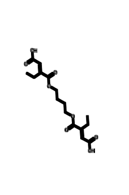 CC/C(=C\C(=O)O)C(=O)OCCCCOC(=O)/C(=C/C(=O)O)CC